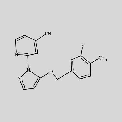 Cc1ccc(COc2ccnn2-c2cc(C#N)ccn2)cc1F